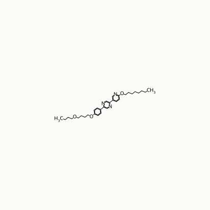 CCCCCCCCOc1ccc(-c2cnc(-c3ccc(OCCCCOCCCC)cc3)cn2)cn1